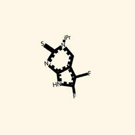 CC(C)n1cc2c(F)c(F)[nH]c2nc1=S